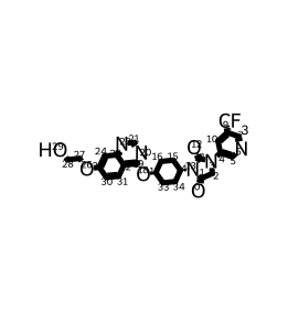 O=C1CN(c2cncc(C(F)(F)F)c2)C(=O)N1[C@H]1CC[C@H](Oc2ncnc3cc(OCCO)ccc23)CC1